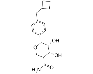 NC(=O)[C@@H]1CO[C@H](c2ccc(CC3CCC3)cc2)[C@H](O)[C@@H]1O